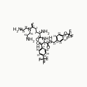 C=C(CCC(N)C(=O)NC(C(=O)NCc1ccc(OC(F)(F)F)cc1)[C@H](O)c1ccc(C(F)(F)F)cc1)N(CCN)CCN